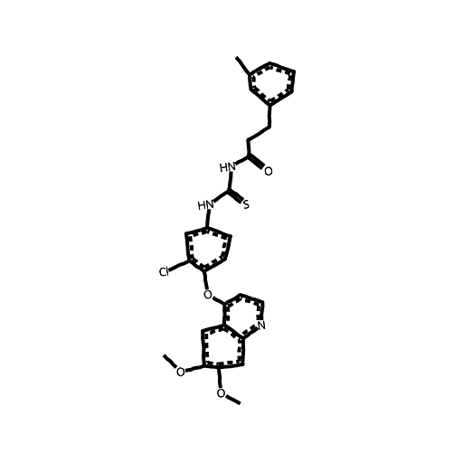 COc1cc2nccc(Oc3ccc(NC(=S)NC(=O)CCc4cccc(C)c4)cc3Cl)c2cc1OC